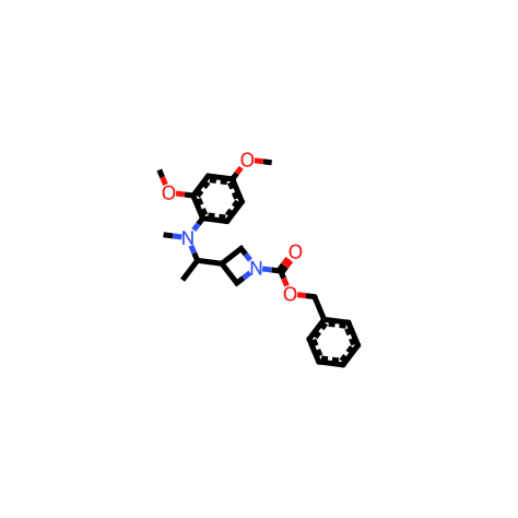 COc1ccc(N(C)C(C)C2CN(C(=O)OCc3ccccc3)C2)c(OC)c1